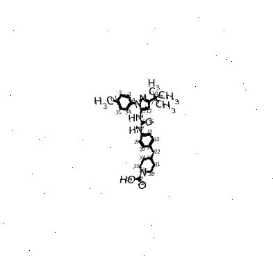 Cc1ccc(-n2nc(C(C)(C)C)cc2NC(=O)Nc2ccc(CC3CCN(C(=O)O)CC3)cc2)cc1